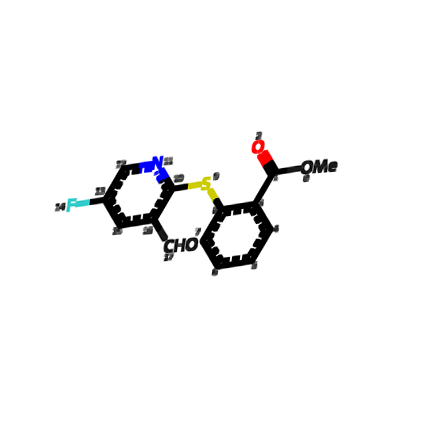 COC(=O)c1ccccc1Sc1ncc(F)cc1C=O